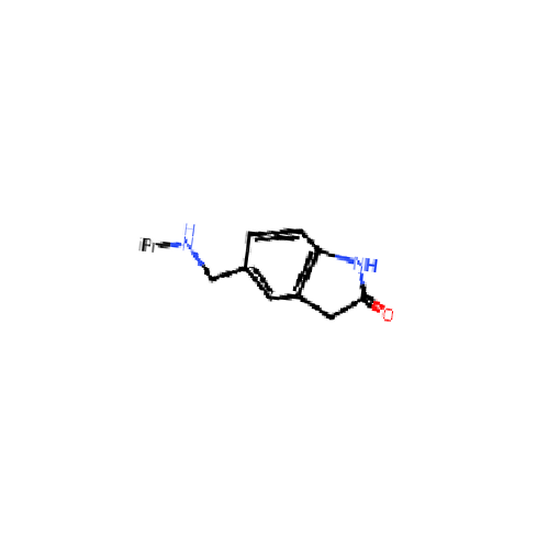 CC(C)NCc1ccc2c(c1)CC(=O)N2